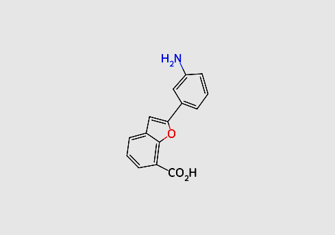 Nc1cccc(-c2cc3cccc(C(=O)O)c3o2)c1